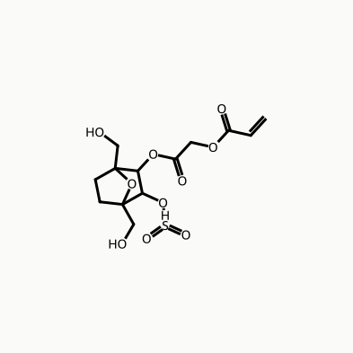 C=CC(=O)OCC(=O)OC1C(O[SH](=O)=O)C2(CO)CCC1(CO)O2